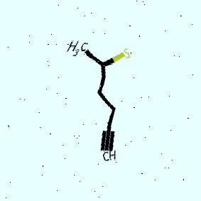 C#CCCC(C)[S]